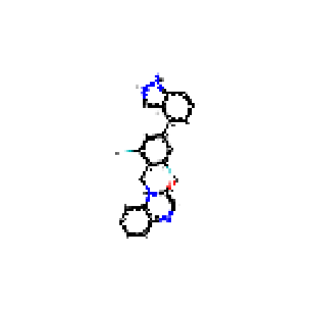 O=c1cnc2ccccc2n1Cc1c(F)cc(-c2cccc3[nH]ncc23)cc1F